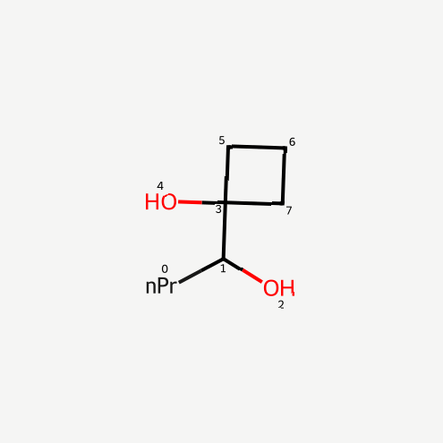 CCCC(O)C1(O)CCC1